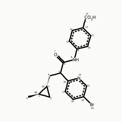 C[C@@H]1C[C@H]1CC(C(=O)Nc1ccc(C(=O)O)cc1)c1ccc(Br)cn1